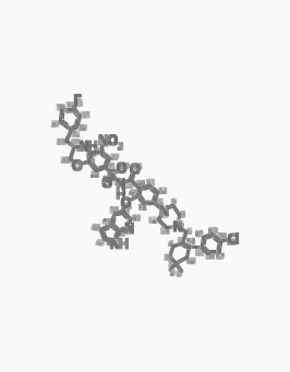 CC1(C)CCC(CN2CCN(c3ccc(C(=O)NS(=O)(=O)c4cc5c(c([N+](=O)[O-])c4)N[C@H](Cc4ccc(F)cc4)CO5)c(Oc4cnc5[nH]ccc5c4)c3)CC2)=C(c2ccc(Cl)cc2)C1